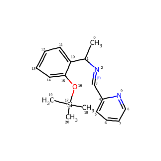 CC(/N=C/c1ccccn1)c1ccccc1O[Si](C)(C)C